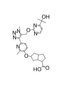 Cc1nc(-c2nnn(C)c2COc2nccc(C(C)(C)O)n2)ccc1OC1CC2CCC(C(=O)O)C2C1